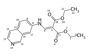 CCOC(=O)C(=CNc1ccc2ccncc2c1)C(=O)OCC